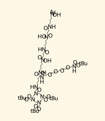 CC(=O)N(O)CCCCCNC(=O)CCC(=O)N(O)CCCCCNC(=O)CCC(=O)N(O)CCCCCNC(=O)[C@H](CCCCNC(=O)CN1CCN(CC(=O)OC(C)(C)C)CCN(CC(=O)OC(C)(C)C)CCN(CC(=O)OC(C)(C)C)CC1)NC(=O)CCOCCOCCOCCOCCNC(=O)OC(C)(C)C